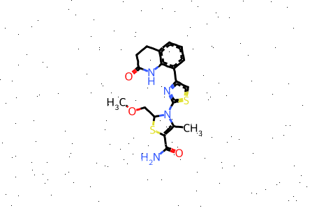 COCC1SC(C(N)=O)=C(C)N1c1nc(-c2cccc3c2NC(=O)CC3)cs1